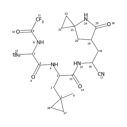 CC1(CC(NC(=O)C(NC(=O)C(F)(F)F)C(C)(C)C)C(=O)NC(C#N)CC2CC3(CC3)NC2=O)CC1